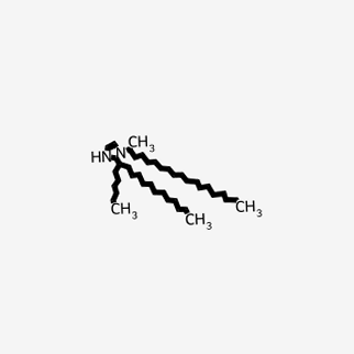 CCCCCCCCCCCCCCCCCC(C)[n+]1cc[nH]c1C(CCCCCC)CCCCCCCCCCCC